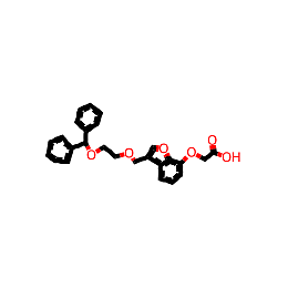 O=C(O)COc1cccc2c(COCCOC(c3ccccc3)c3ccccc3)coc12